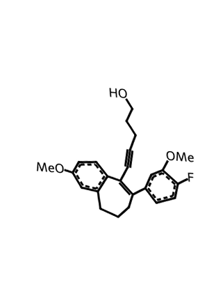 COc1ccc2c(c1)CCCC(c1ccc(F)c(OC)c1)=C2C#CCCCO